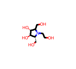 OCCN1C(CO)[C@@H](O)[C@H](O)[C@H]1CO